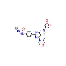 CCNC(=O)Nc1ccc(-c2nc3c(c(N4CCOCC4C)n2)CCN(C2=CC(=O)OC2)C3)cc1